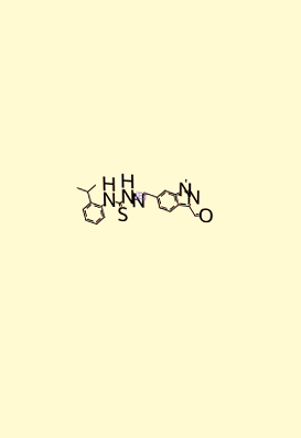 CC(C)c1ccccc1NC(=S)N/N=C/c1ccc2c(C=O)nn(C)c2c1